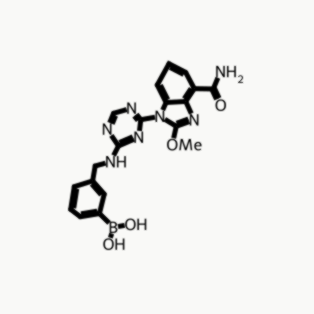 COc1nc2c(C(N)=O)cccc2n1-c1ncnc(NCc2cccc(B(O)O)c2)n1